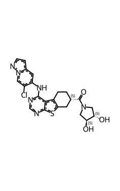 O=C([C@H]1CCc2c(sc3ncnc(Nc4cc5ccnn5cc4Cl)c23)C1)N1C[C@H](O)[C@@H](O)C1